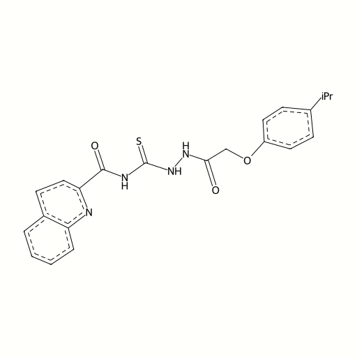 CC(C)c1ccc(OCC(=O)NNC(=S)NC(=O)c2ccc3ccccc3n2)cc1